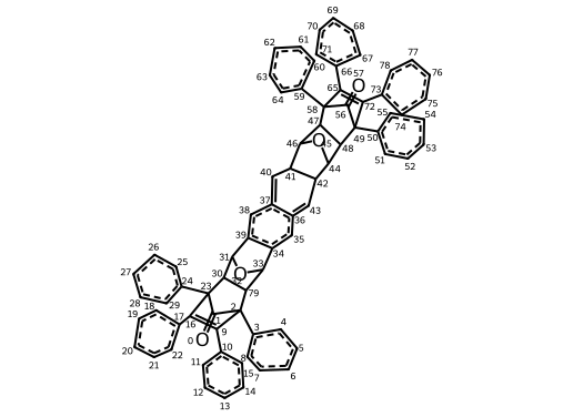 O=C1C2(c3ccccc3)C(c3ccccc3)=C(c3ccccc3)C1(c1ccccc1)C1C3OC(c4cc5c(cc43)=CC3C(C=5)C4OC3C3C4C4(c5ccccc5)C(=O)C3(c3ccccc3)C(c3ccccc3)=C4c3ccccc3)C12